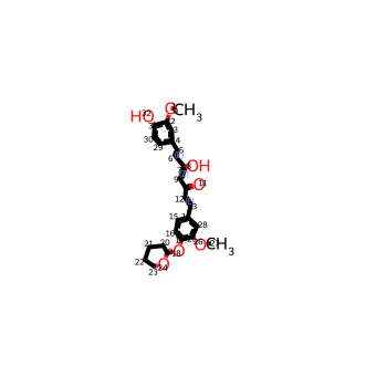 COc1cc(/C=C/C(O)=C/C(=O)/C=C/c2ccc(OC3CCCCO3)c(OC)c2)ccc1O